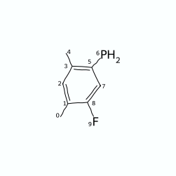 Cc1cc(C)c(P)cc1F